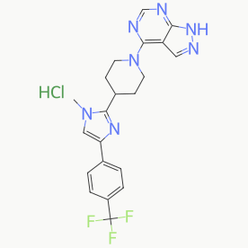 Cl.Cn1cc(-c2ccc(C(F)(F)F)cc2)nc1C1CCN(c2ncnc3[nH]ncc23)CC1